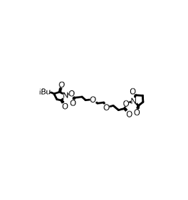 CCC(C)C1CC(=O)N(OC(=O)CCOCCOCCC(=O)ON2C(=O)CCC2=O)C1=O